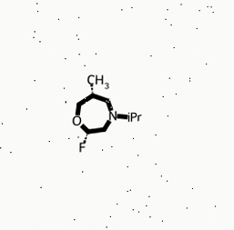 CC(C)N1C[C@@H](C)CO[C@@H](F)C1